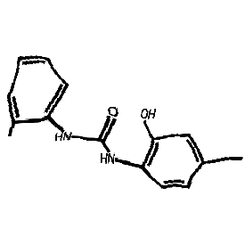 Cc1ccc(NC(=O)Nc2ccccc2C)c(O)c1